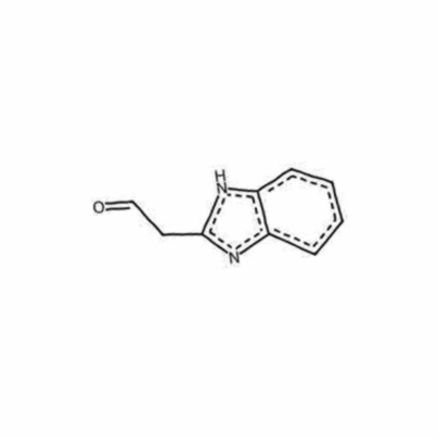 O=CCc1nc2ccccc2[nH]1